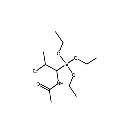 CCO[Si](OCC)(OCC)C(NC(C)=O)C(C)Cl